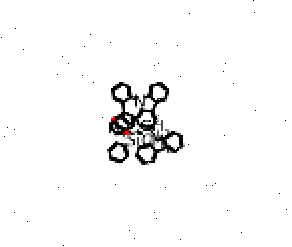 CC(C)(C)[Si](c1ccccc1)(c1ccccc1)c1cccc2c3ccccc3n(-c3ccc4c(c3)c3ccccc3n4-c3ccccc3-c3ccccc3)c12